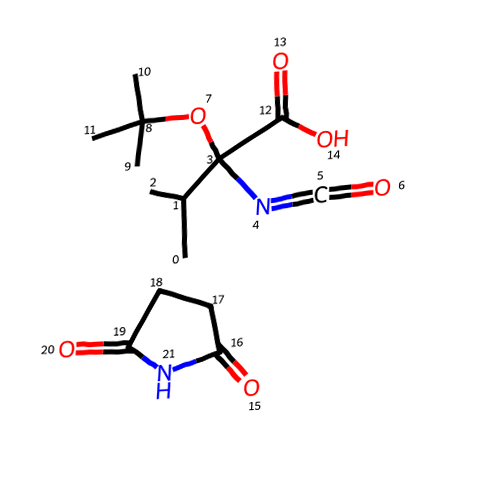 CC(C)C(N=C=O)(OC(C)(C)C)C(=O)O.O=C1CCC(=O)N1